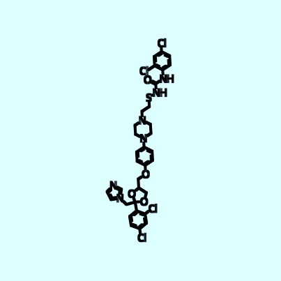 O=C(NSCCN1CCN(c2ccc(OCC3COC(Cn4ccnc4)(c4ccc(Cl)cc4Cl)O3)cc2)CC1)Nc1ccc(Cl)cc1Cl